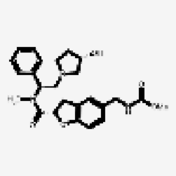 COC(=O)NCc1ccc2c(c1)C[C@@H](C(=O)N(C)[C@H](CN1CC[C@H](O)C1)c1ccccc1)O2